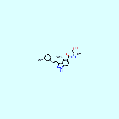 COc1c(C(=O)NC(CO)C(C)C)ccc2[nH]nc(/C=C/c3cccc(C(C)=O)c3)c12